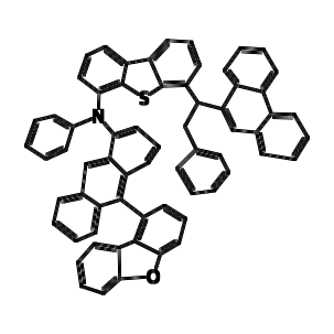 c1ccc(CC(c2cc3ccccc3c3ccccc23)c2cccc3c2sc2c(N(c4ccccc4)c4cccc5c(-c6cccc7oc8ccccc8c67)c6ccccc6cc45)cccc23)cc1